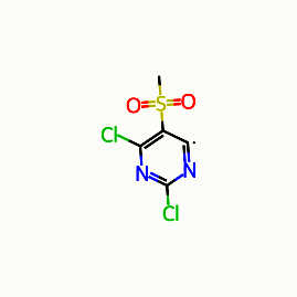 CS(=O)(=O)c1[c]nc(Cl)nc1Cl